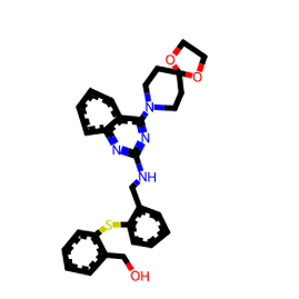 OCc1ccccc1Sc1ccccc1CNc1nc(N2CCC3(CC2)OCCO3)c2ccccc2n1